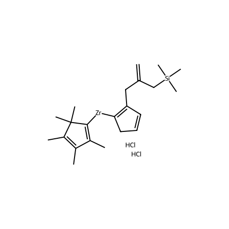 C=C(CC1=[C]([Zr][C]2=C(C)C(C)=C(C)C2(C)C)CC=C1)C[Si](C)(C)C.Cl.Cl